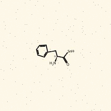 N[C@@H](Cc1ccccc1)[C](=O)[SnH]